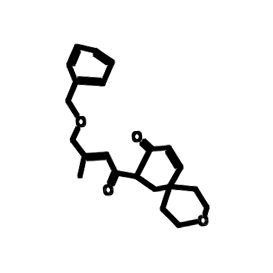 C/C(=C\C(=O)C1CC2(C=CC1=O)CCOCC2)COCc1ccccc1